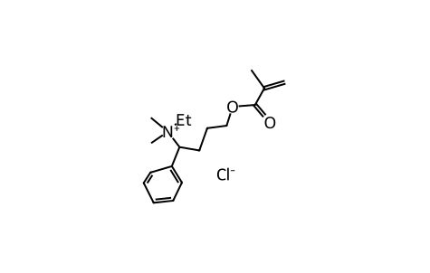 C=C(C)C(=O)OCCCC(c1ccccc1)[N+](C)(C)CC.[Cl-]